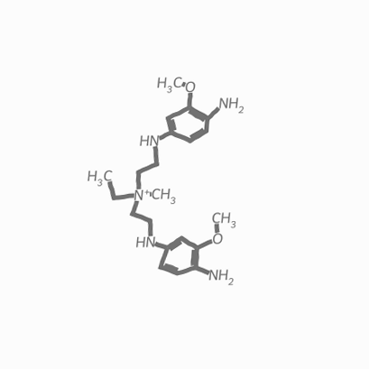 CC[N+](C)(CCNc1ccc(N)c(OC)c1)CCNc1ccc(N)c(OC)c1